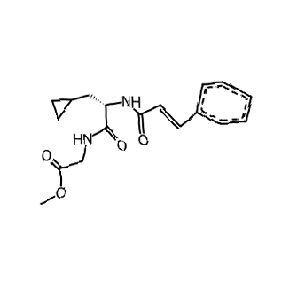 COC(=O)CNC(=O)[C@H](CC1CC1)NC(=O)/C=C/c1ccccc1